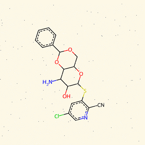 N#Cc1ncc(Cl)cc1SC1OC2COC(c3ccccc3)OC2C(N)C1O